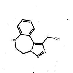 OCc1nnn2c1-c1ccccc1NCC2